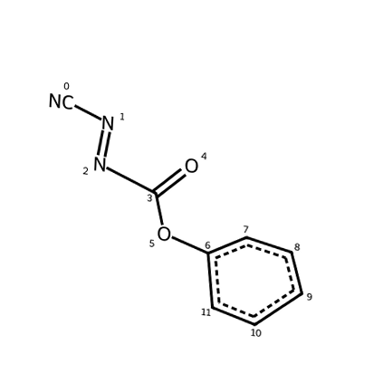 N#CN=NC(=O)Oc1ccccc1